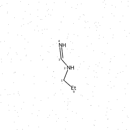 CCCNC=N